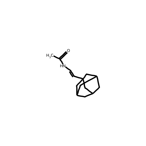 CC(=O)NC=CC12CC3CC(CC(C3)C1)C2